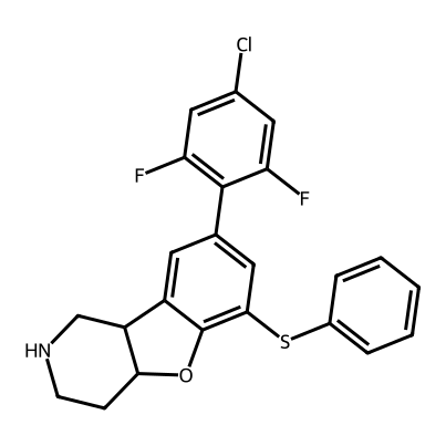 Fc1cc(Cl)cc(F)c1-c1cc(Sc2ccccc2)c2c(c1)C1CNCCC1O2